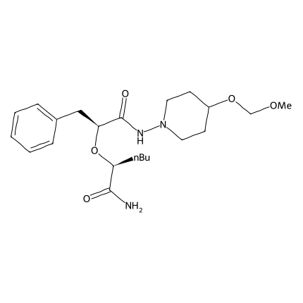 CCCC[C@H](O[C@@H](Cc1ccccc1)C(=O)NN1CCC(OCOC)CC1)C(N)=O